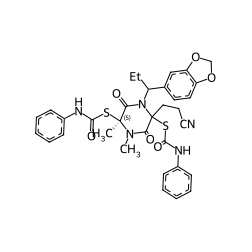 CCC(c1ccc2c(c1)OCO2)N1C(=O)[C@](C)(SC(=O)Nc2ccccc2)N(C)C(=O)C1(CCC#N)SC(=O)Nc1ccccc1